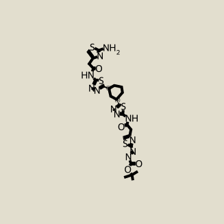 CC(C)(C)OC(=O)N=Nc1nc(CC(=O)Nc2nnc([C@H]3CCC[C@H](c4nnc(NC(=O)Cc5csc(N)n5)s4)C3)s2)cs1